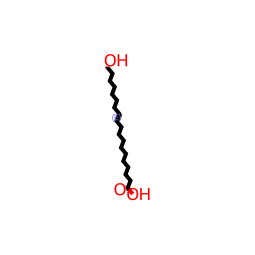 O=C(O)CCCCCCCCC/C=C/CCCCCCCO